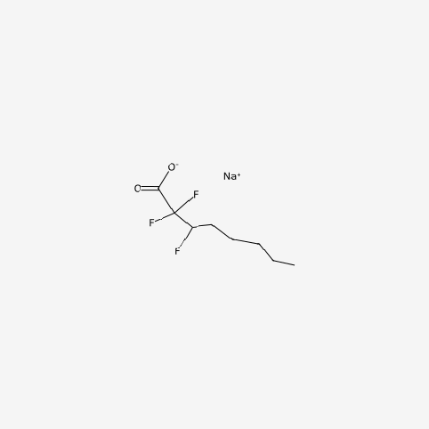 CCCCCC(F)C(F)(F)C(=O)[O-].[Na+]